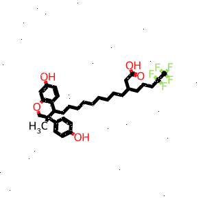 CC1(c2ccc(O)cc2)COc2cc(O)ccc2C1CCCCCCCCCC(CCCC(F)(F)C(F)(F)F)CC(=O)O